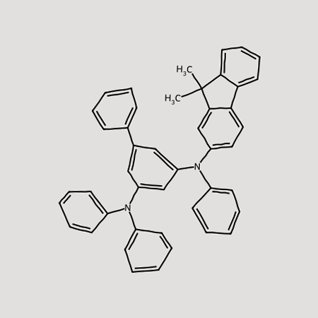 CC1(C)c2ccccc2-c2ccc(N(c3ccccc3)c3cc(-c4ccccc4)cc(N(c4ccccc4)c4ccccc4)c3)cc21